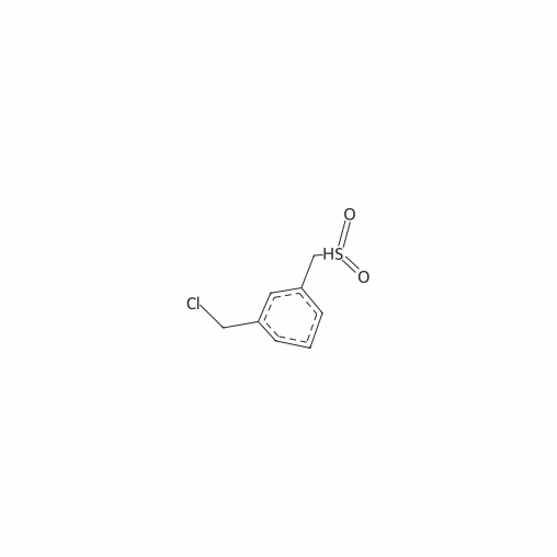 O=[SH](=O)Cc1cccc(CCl)c1